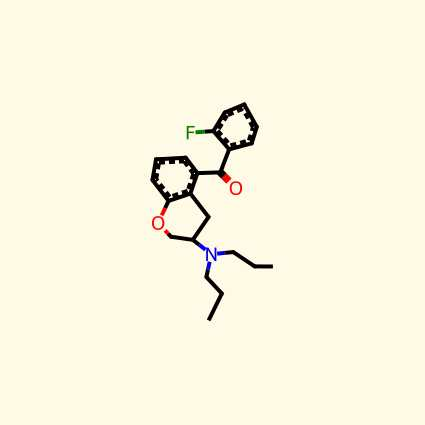 CCCN(CCC)C1COc2cccc(C(=O)c3ccccc3F)c2C1